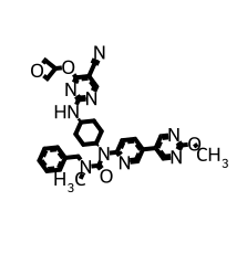 COc1ncc(-c2ccc(N(C(=O)N(C)Cc3ccccc3)[C@H]3CC[C@H](Nc4ncc(C#N)c(OC5COC5)n4)CC3)nc2)cn1